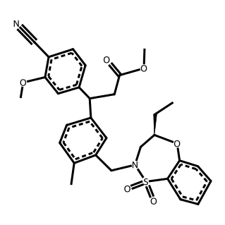 CC[C@@H]1CN(Cc2cc(C(CC(=O)OC)c3ccc(C#N)c(OC)c3)ccc2C)S(=O)(=O)c2ccccc2O1